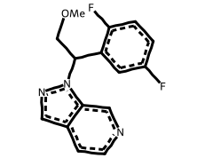 COCC(c1cc(F)ccc1F)n1ncc2ccncc21